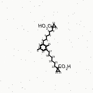 Cc1cc(CCCCCCC2(C(=O)O)CC2)c(C)c(CCCCCCC2(C(=O)O)CC2)c1